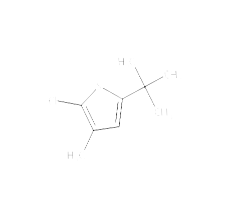 Cc1cc(C(C)(C)C)sc1Cl